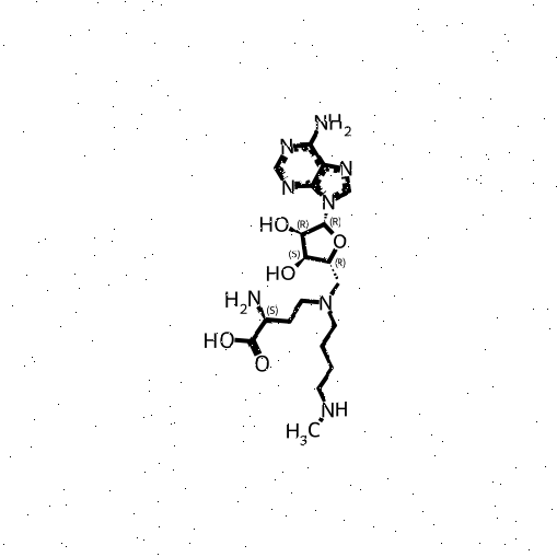 CNCCCCN(CC[C@H](N)C(=O)O)C[C@H]1O[C@@H](n2cnc3c(N)ncnc32)[C@H](O)[C@@H]1O